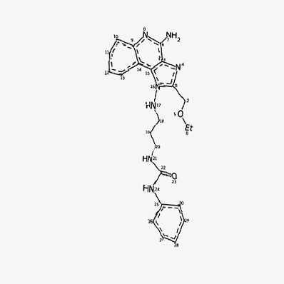 CCOCc1nc2c(N)nc3ccccc3c2n1NCCCNC(=O)Nc1ccccc1